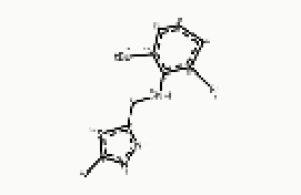 Cc1nnc(CNc2c(Br)cccc2C(C)(C)C)s1